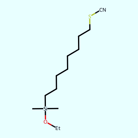 CCO[Si](C)(C)CCCCCCCCSC#N